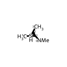 CNC1=C(C)[SiH]1C